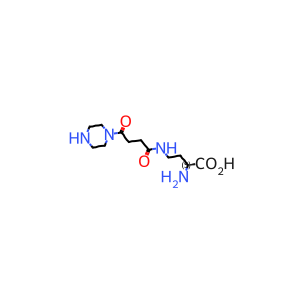 N[C@@H](CCNC(=O)CCC(=O)N1CCNCC1)C(=O)O